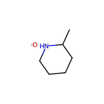 CC1CCCCN1.[O]